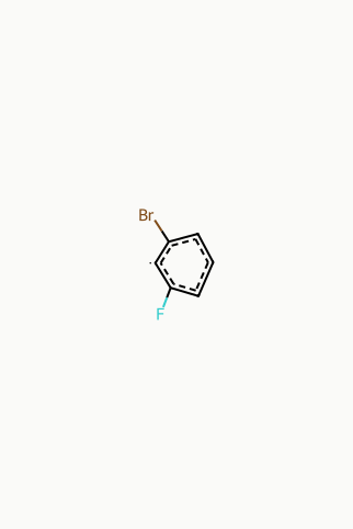 Fc1[c]c(Br)ccc1